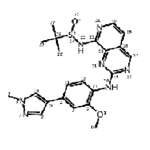 COc1cc(-c2cnn(C)c2)ccc1Nc1ncc2ccnc(N[S+]([O-])C(C)(C)C)c2n1